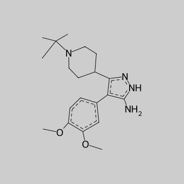 COc1ccc(-c2c(C3CCN(C(C)(C)C)CC3)n[nH]c2N)cc1OC